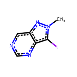 Cn1nc2cncnc2c1I